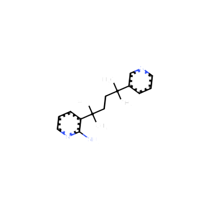 CC(C)(CCC(C)(C)c1cccnc1N)c1cccnc1